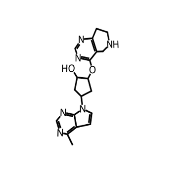 Cc1ncnc2c1ccn2C1CC(O)C(Oc2ncnc3c2CNCC3)C1